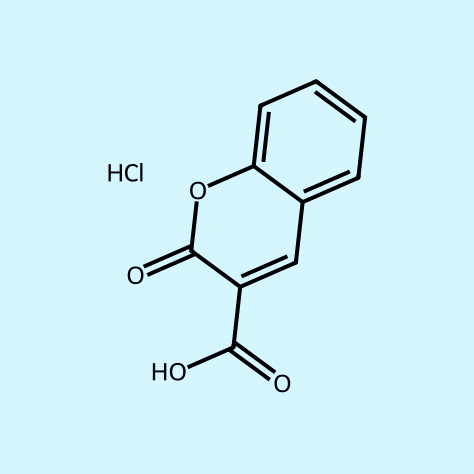 Cl.O=C(O)c1cc2ccccc2oc1=O